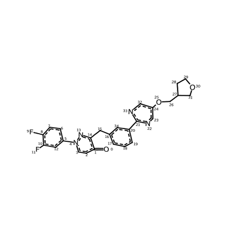 O=c1ccn(-c2ccc(F)c(F)c2)nc1Cc1cccc(-c2ncc(OCC3CCOC3)cn2)c1